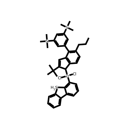 CCCc1ccc2c(c1-c1cc([Si](C)(C)C)cc([Si](C)(C)C)c1)C=C(C(C)(C)C)[CH]2[Zr]([Cl])([Cl])[c]1cccc2c1[SiH2]c1ccccc1-2